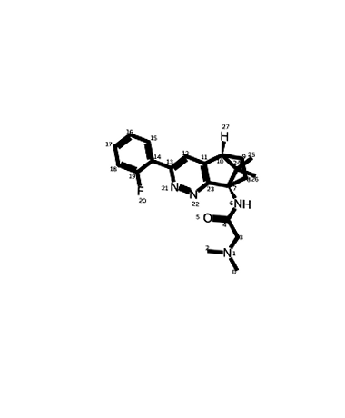 CN(C)CC(=O)N[C@@]12CC[C@@H](c3cc(-c4ccccc4F)nnc31)C2(C)C